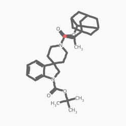 CC(=O)C12CC3CC(C1)C(OC(=O)N1CCC4(CC1)CN(C(=O)OC(C)(C)C)c1ccccc14)C(C3)C2